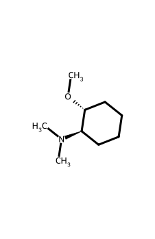 CO[C@@H]1CCCC[C@H]1N(C)C